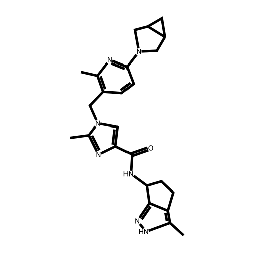 Cc1nc(N2CC3CC3C2)ccc1Cn1cc(C(=O)NC2CCc3c2n[nH]c3C)nc1C